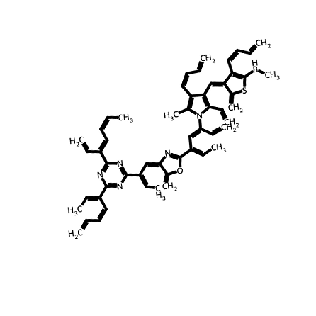 C=C/C=C\C(=C/C)c1nc(/C(C=C)=C/C=C\C)nc(C(=C/C)/C=c2/nc(C(=C/C)/C=C(\C=C)n3c(C)c(/C=C\C=C)c(/C=c4/c(/C=C\C=C)c(BC)sc4=C)c3C=C)oc2=C)n1